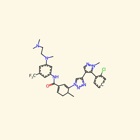 CC1CC=C(C(=O)Nc2cc(N(C)CCN(C)C)cc(C(F)(F)F)c2)C=C1n1cc(-c2cnn(C)c2-c2ccccc2Cl)nn1